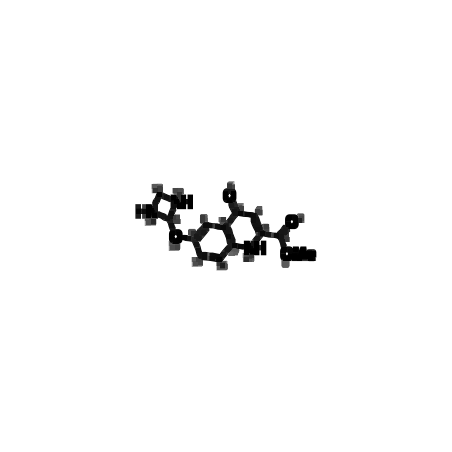 COC(=O)c1cc(=O)c2cc(OC3NCN3)ccc2[nH]1